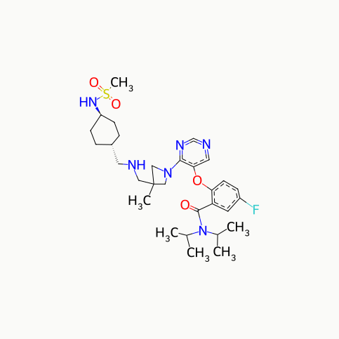 CC(C)N(C(=O)c1cc(F)ccc1Oc1cncnc1N1CC(C)(CNC[C@H]2CC[C@H](NS(C)(=O)=O)CC2)C1)C(C)C